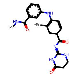 CC(C)NC(=O)c1cccc(NC2=C(C(C)(C)C)CC(C(=O)/N=C3\NCCC(=O)N3)C=C2)c1